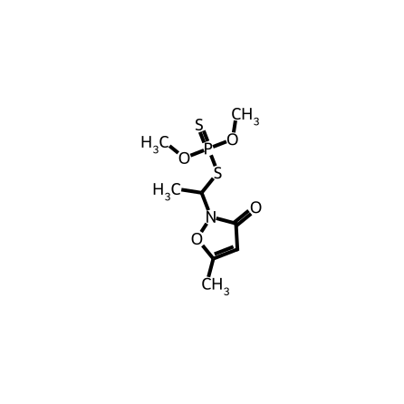 COP(=S)(OC)SC(C)n1oc(C)cc1=O